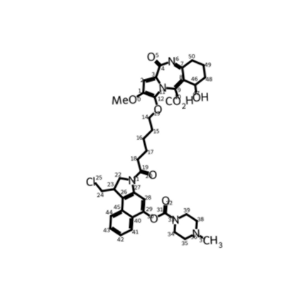 COc1cc2c(=O)nc3c(c(C(=O)O)n2c1OCCCCCC(=O)N1CC(CCl)c2c1cc(OC(=O)N1CCN(C)CC1)c1ccccc21)C(O)CCC3